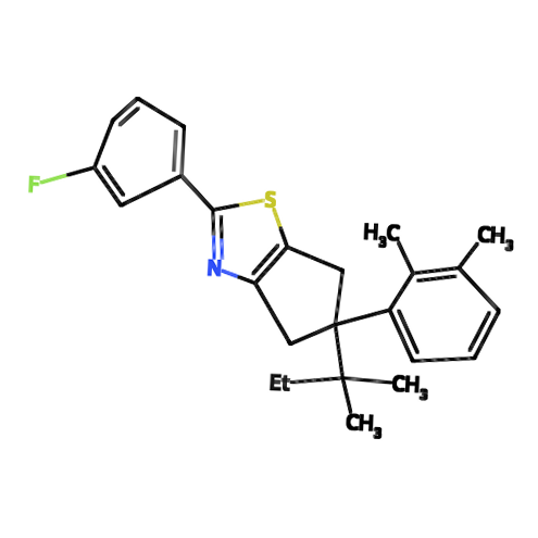 CCC(C)(C)C1(c2cccc(C)c2C)Cc2nc(-c3cccc(F)c3)sc2C1